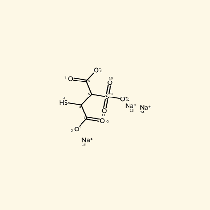 O=C([O-])C(S)C(C(=O)[O-])S(=O)(=O)[O-].[Na+].[Na+].[Na+]